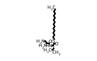 CCCCCCCCCCCCCCCCOC(=O)[C@H](CC(C)C)NC(=O)[C@@H](N)CN